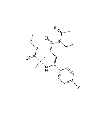 CCOC(=O)C(C)(C)N[C@@H](CCC(=O)N(CC)C(C)=O)c1ccc(Br)cc1